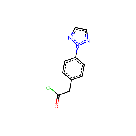 O=C(Cl)Cc1ccc(-n2nccn2)cc1